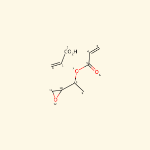 C=CC(=O)O.C=CC(=O)OC(C)C1CO1